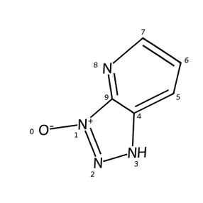 [O-][n+]1n[nH]c2cccnc21